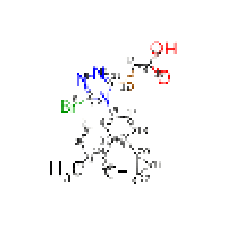 CC/C=C\c1c(-n2c(Br)nnc2SCC(=O)O)ccc(C2CC2)c1CC